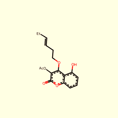 CCC=CCCOc1c(OC(C)=O)c(=O)oc2cccc(O)c12